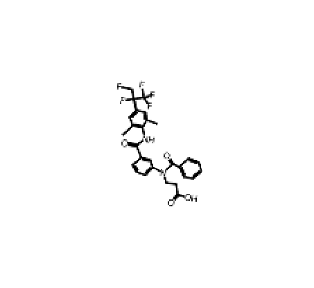 Cc1cc(C(F)(CF)C(F)(F)F)cc(C)c1NC(=O)c1cccc(N(CCC(=O)O)C(=O)c2ccccc2)c1